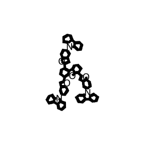 c1cc(-c2cc3cc(-n4c5ccccc5c5ccccc54)ccc3o2)c2oc3c(-c4cc5cc(-n6c7ccccc7c7ccccc76)ccc5o4)ccc(-c4cc5cc(-n6c7ccccc7c7ccccc76)ccc5o4)c3c2c1